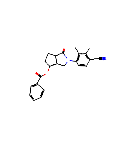 Cc1c(C#N)ccc(N2CC3C(OC(=O)c4ccccc4)CCC3C2=O)c1C